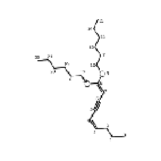 CCC/C=C\C#CC=C(OCCCCCC)OCCCCCC